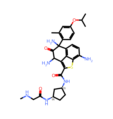 CNCC(=O)N[C@@H]1CC[C@H](NC(=O)c2sc3c(N)ccc4c3c2C(N)C(=O)C4(N)c2ccc(OC(C)C)cc2C)C1